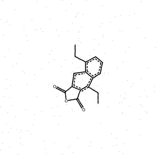 CCc1cccc2c(CC)c3c(cc12)C(=O)OC3=O